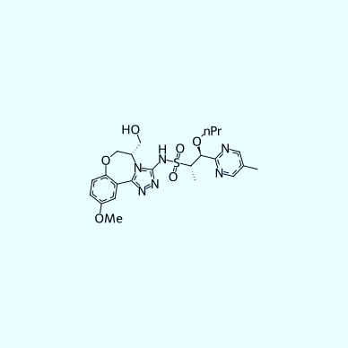 CCCO[C@@H](c1ncc(C)cn1)[C@H](C)S(=O)(=O)Nc1nnc2n1[C@@H](CO)COc1ccc(OC)cc1-2